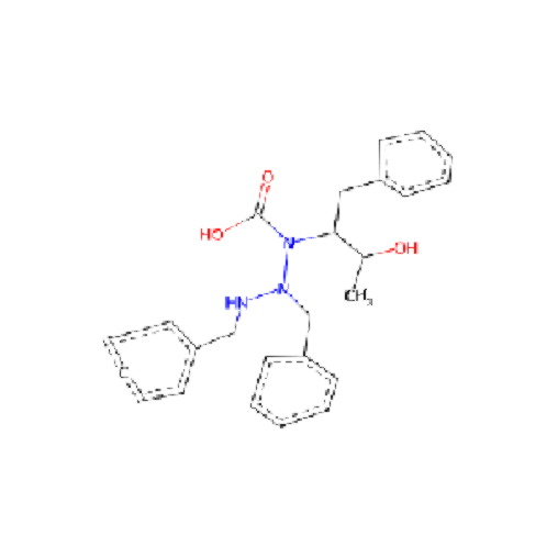 CC(O)C(Cc1ccccc1)N(C(=O)O)N(Cc1ccccc1)NCc1ccccc1